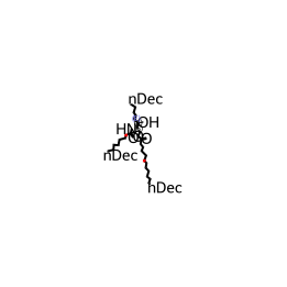 CCCCCCCCCCCCC/C=C/[C@@H](O)[C@H](COC(=O)CCCCCCCCCCCCCCCCCCCCC)NC(=O)CCCCCCCCCCCCCCCCC